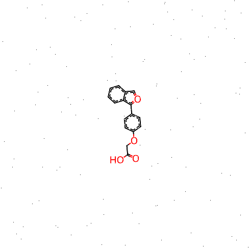 O=C(O)COc1ccc(-c2occ3ccccc23)cc1